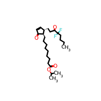 CCCCC(F)(F)C(=O)CC[C@H]1C=CC(=O)[C@@H]1CCCCCCCCC(=O)OC(C)C